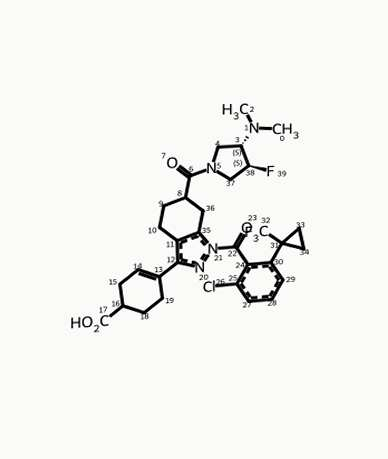 CN(C)[C@H]1CN(C(=O)C2CCc3c(C4=CCC(C(=O)O)CC4)nn(C(=O)c4c(Cl)cccc4C4(C(F)(F)F)CC4)c3C2)C[C@@H]1F